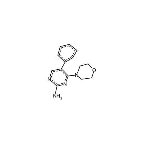 Nc1ncc(-c2ccccc2)c(N2CCOCC2)n1